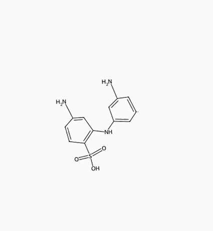 Nc1c[c]cc(Nc2cc(N)ccc2S(=O)(=O)O)c1